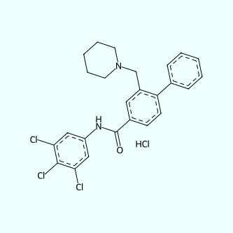 Cl.O=C(Nc1cc(Cl)c(Cl)c(Cl)c1)c1ccc(-c2ccccc2)c(CN2CCCCC2)c1